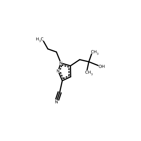 CCCn1nc(C#N)cc1CC(C)(C)O